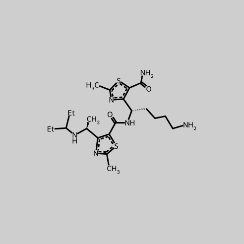 CCC(CC)N[C@@H](C)c1nc(C)sc1C(=O)N[C@@H](CCCCN)c1nc(C)sc1C(N)=O